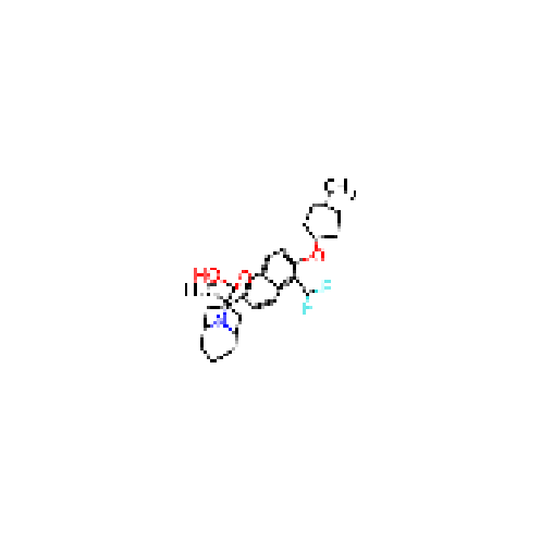 CC1CCC(Oc2ccc3cc(C(C)N4C5CCCC4CC(C(=O)O)C5)ccc3c2C(F)F)CC1